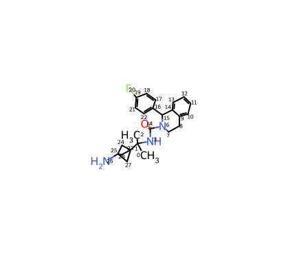 CC(C)(NC(=O)N1CCc2ccccc2C1c1ccc(F)cc1)C12CC(N)(C1)C2